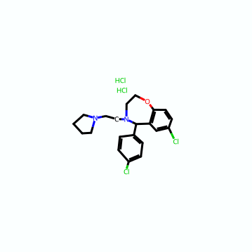 Cl.Cl.Clc1ccc(C2c3cc(Cl)ccc3OCCN2CCN2CCCC2)cc1